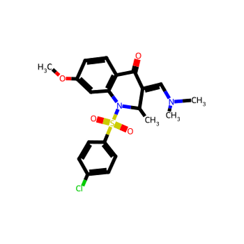 COc1ccc2c(c1)N(S(=O)(=O)c1ccc(Cl)cc1)C(C)C(=CN(C)C)C2=O